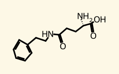 N[C@@H](CCC(=O)NCCc1ccccc1)C(=O)O